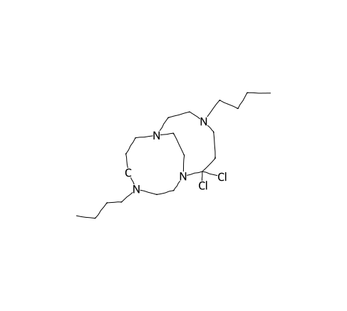 CCCCN1CCCN2CCN(CCCC)CCC(Cl)(Cl)N(CC1)CC2